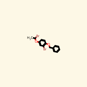 CC(Br)Oc1ccc(OCc2ccccc2)c(Br)c1